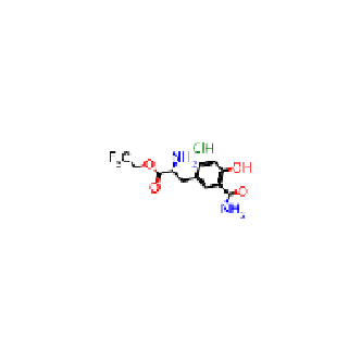 Cl.NC(=O)c1cc(C[C@H](N)C(=O)OCC(F)(F)F)ccc1O